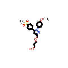 COc1ccc(-n2nc(COCCCO)cc2-c2ccc(S(C)(=O)=O)cc2)cc1